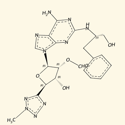 Cn1nnc([C@H]2O[C@@H](n3cnc4c(N)nc(N[C@H](CO)Cc5ccccc5)nc43)[C@H](OC=O)[C@@H]2O)n1